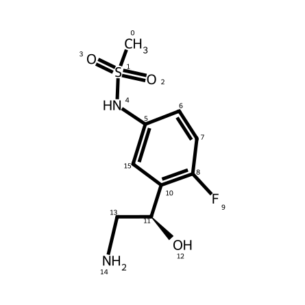 CS(=O)(=O)Nc1ccc(F)c([C@@H](O)CN)c1